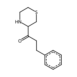 O=C(CCc1ccccc1)C1CSCCN1